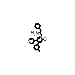 Cc1cccc(-c2cc(=O)n(C[C@H](N)Cc3ccccc3)cc2-c2ccncc2)c1